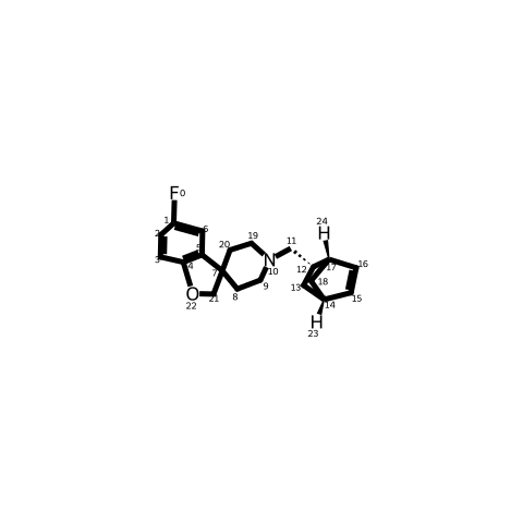 Fc1ccc2c(c1)C1(CCN(C[C@H]3C[C@H]4C=C[C@@H]3C4)CC1)CO2